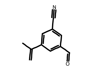 C=C(C)c1cc(C#N)cc(C=O)c1